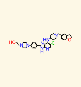 OCCN1CCN(c2ccc(-c3nc4c(NC5CCN(Cc6ccc7c(c6)CCO7)CC5)c(Cl)cnc4[nH]3)cc2)CC1